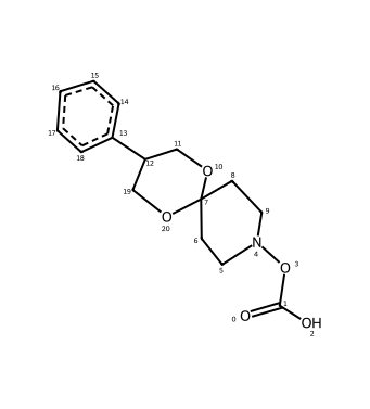 O=C(O)ON1CCC2(CC1)OCC(c1ccccc1)CO2